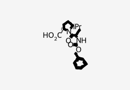 CC(C)CC(NC(=O)OCc1ccccc1)C(=O)N1CCC[C@H]1C(=O)O